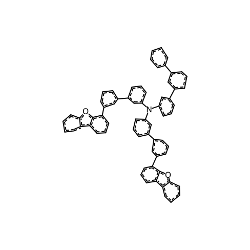 c1ccc(-c2cccc(-c3cccc(N(c4cccc(-c5cccc(-c6cccc7c6oc6ccccc67)c5)c4)c4cccc(-c5cccc(-c6cccc7c6oc6ccccc67)c5)c4)c3)c2)cc1